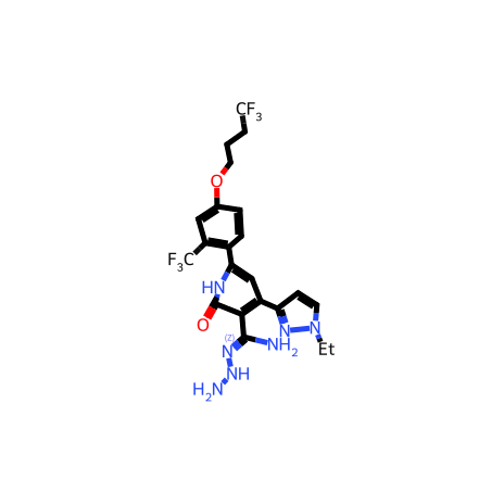 CCn1ccc(-c2cc(-c3ccc(OCCCC(F)(F)F)cc3C(F)(F)F)[nH]c(=O)c2/C(N)=N/NN)n1